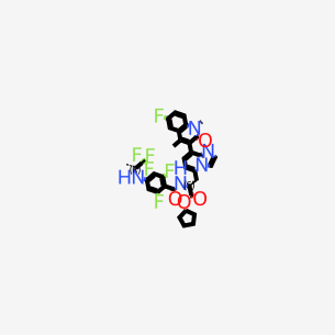 Cc1c(-c2ccc(C[C@H](NC(=O)c3c(F)cc(N[C@H](C)C(F)(F)F)cc3F)C(=O)OC3CCCC3)n3ccnc23)c(=O)n(C)c2ccc(F)cc12